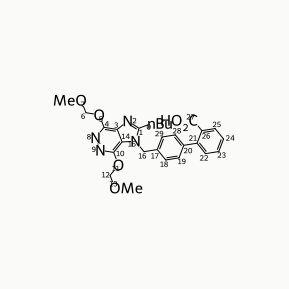 CCCCc1nc2c(OCOC)nnc(OCOC)c2n1Cc1ccc(-c2ccccc2C(=O)O)cc1